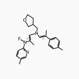 C/C(=C\N(/C=C(\C)N(F)c1ccc(C)cn1)CC1CCOC1)c1ccc(C)cc1